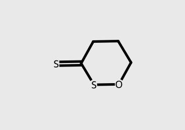 S=C1CCCOS1